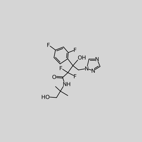 CC(C)(CO)NC(=O)C(F)(F)C(O)(Cn1cncn1)c1ccc(F)cc1F